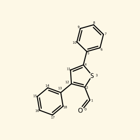 O=Cc1sc(-c2ccccc2)cc1-c1ccccc1